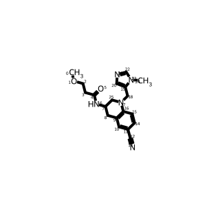 COCCC(=O)NC1Cc2cc(C#N)ccc2N(Cc2cncn2C)C1